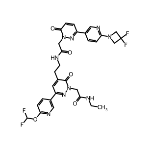 CCNC(=O)Cn1nc(-c2ccc(OC(F)F)nc2)cc(CCNC(=O)Cn2nc(-c3ccc(N4CC(F)(F)C4)nc3)ccc2=O)c1=O